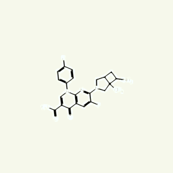 CC12CN(c3nc4c(cc3F)c(=O)c(C(=O)O)cn4-c3ccc(F)cc3)CC1CC2N